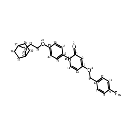 O=c1cc(OCc2ccc(F)cc2)ccn1-c1ccc(OCCN2C3CCC2CC3)cc1